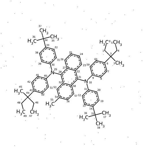 CCC(C)(CC)c1ccc(N(c2ccc(C(C)(C)C)cc2)c2c3ccccc3c(N(c3ccc(C(C)(C)C)cc3)c3ccc(C(C)(CC)CC)cc3)c3cc(C)ccc23)cc1